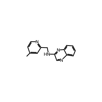 Cc1ccnc(CNc2cnc3ccccc3n2)c1